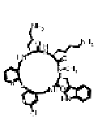 CN1C(=O)[C@H](CCCCN)NC(=O)[C@H](CCCN)NCc2cccnc2Sc2cnc(Cl)cc2CNC(=O)[C@@H]1Cc1c[nH]c2ccccc12